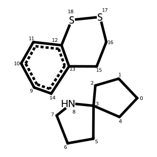 C1CCC2(C1)CCCN2.c1ccc2c(c1)CCSS2